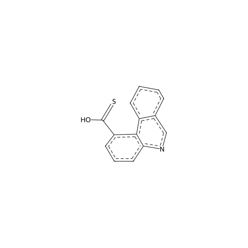 OC(=S)c1cccc2ncc3ccccc3c12